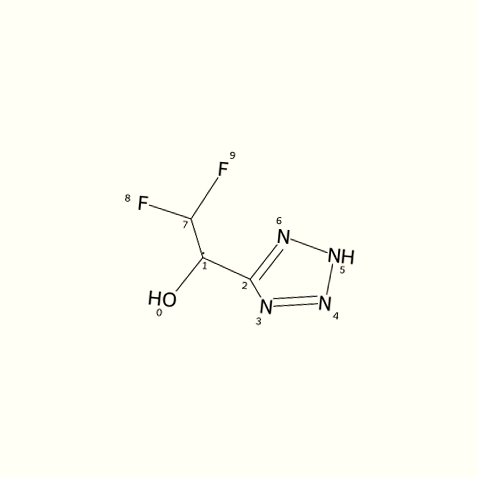 O[C](c1nn[nH]n1)C(F)F